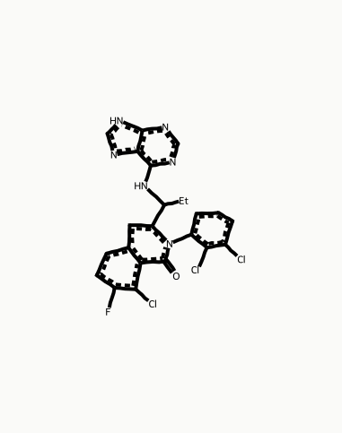 CCC(Nc1ncnc2[nH]cnc12)c1cc2ccc(F)c(Cl)c2c(=O)n1-c1cccc(Cl)c1Cl